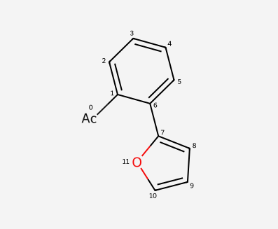 CC(=O)c1ccccc1-c1ccco1